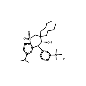 CCCCC1(CCCC)CS(=O)(=O)c2ccc(N(C)C)cc2[C@H](c2cccc([N+](C)(C)C)c2)[C@@H]1O.[I-]